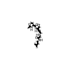 CC[C@H](NC(C)=O)C(=O)N/C(C=O)=C/C=C\NCC(=O)NCCC(C)C